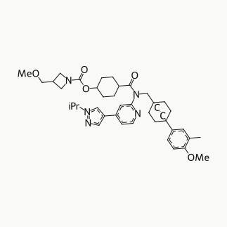 COCC1CN(C(=O)OC2CCC(C(=O)N(CC34CCC(c5ccc(OC)c(C)c5)(CC3)CC4)c3cc(-c4cnn(C(C)C)c4)ccn3)CC2)C1